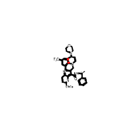 COc1ccc2nc(-c3cccc(C(F)(F)F)c3)c(CN3CCC(N4CCOCC4)CC3)c(C(=O)N[C@@H](C)c3ccccc3)c2n1